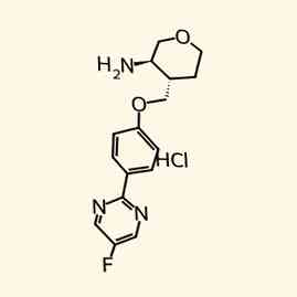 Cl.N[C@H]1COCC[C@@H]1COc1ccc(-c2ncc(F)cn2)cc1